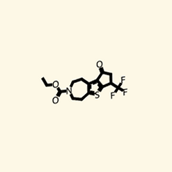 CCOC(=O)N1CCc2sc3c(c2CC1)C(=O)CC3C(F)(F)F